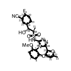 COc1cccc(OC)c1-n1c(NS(=O)(=O)[C@H](C)[C@H](O)c2ccc(F)c(C#N)c2)nnc1-c1ccc(C)o1